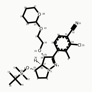 Cc1c(C2=NN3CC[C@H](O[Si](C)(C)C(C)(C)C)[C@H]3[C@@H]2OCCOC2CCCCO2)ccc(C#N)c1Cl